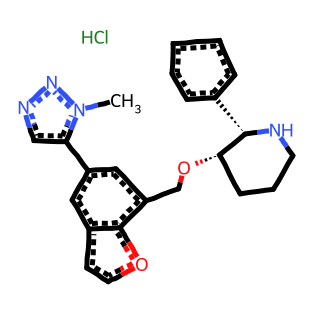 Cl.Cn1nncc1-c1cc(CO[C@H]2CCCN[C@H]2c2ccccc2)c2occc2c1